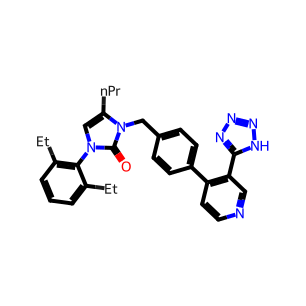 CCCc1cn(-c2c(CC)cccc2CC)c(=O)n1Cc1ccc(-c2ccncc2-c2nnn[nH]2)cc1